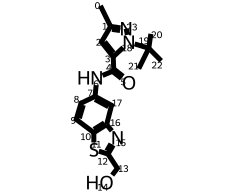 Cc1cc(C(=O)Nc2ccc3sc(CO)nc3c2)n(C(C)(C)C)n1